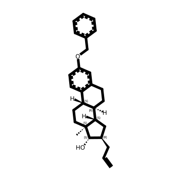 C=CC[C@@H]1C[C@H]2[C@@H]3CCc4cc(OCc5ccccc5)ccc4[C@H]3CC[C@]2(C)[C@H]1O